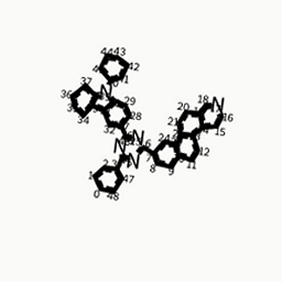 c1ccc(-c2nc(-c3ccc4ccc5c6ccncc6ccc5c4c3)nc(-c3ccc4c(c3)c3ccccc3n4-c3ccccc3)n2)cc1